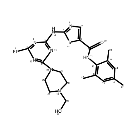 CCc1nc(Nc2ncc(C(=O)Nc3c(C)cc(C)cc3C)s2)nc(N2CCN(CO)CC2)n1